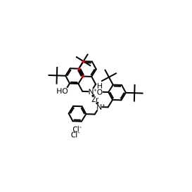 CC(C)(C)c1cc(C[N+](Cc2ccccc2)=[Zr]=[N+](Cc2ccccc2)Cc2cc(C(C)(C)C)cc(C(C)(C)C)c2O)c(O)c(C(C)(C)C)c1.[Cl-].[Cl-]